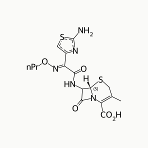 CCCON=C(C(=O)NC1C(=O)N2C(C(=O)O)=C(C)CS[C@@H]12)c1csc(N)n1